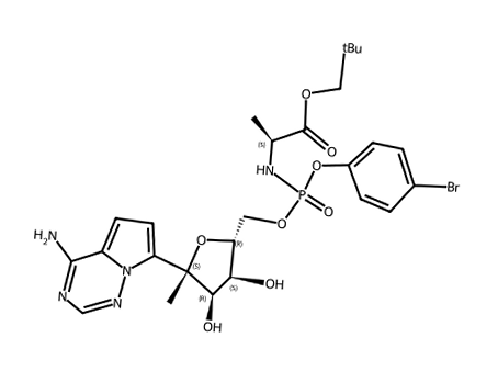 C[C@H](NP(=O)(OC[C@H]1O[C@@](C)(c2ccc3c(N)ncnn23)[C@H](O)[C@@H]1O)Oc1ccc(Br)cc1)C(=O)OCC(C)(C)C